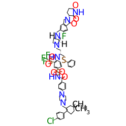 CC1(C)CCC(c2ccc(Cl)cc2)=C(CN2CCN(c3ccc(C(=O)NS(=O)(=O)c4ccc(N[C@H](CCN5C[C@@H]6C[C@H]5CN6Cc5cc6c(cc5F)C(=O)N(C5CCC(=O)NC5=O)C6)CSc5ccccc5)c(S(=O)(=O)C(F)(F)F)c4)cc3)CC2)C1